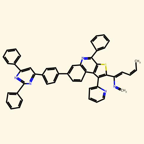 C=N/C(=C\C=C/C)c1sc2c(-c3ccccc3)nc3cc(-c4ccc(-c5cc(-c6ccccc6)nc(-c6ccccc6)n5)cc4)ccc3c2c1-c1ccccn1